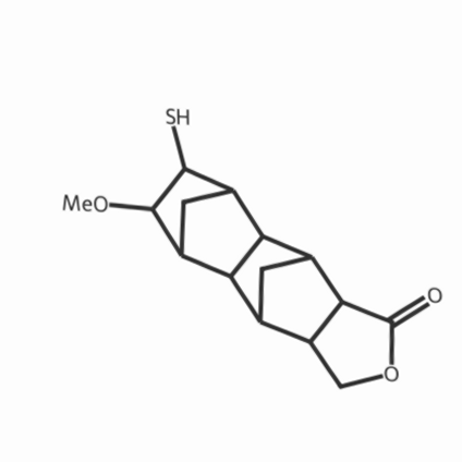 COC1C(S)C2CC1C1C3CC(C4C(=O)OCC34)C21